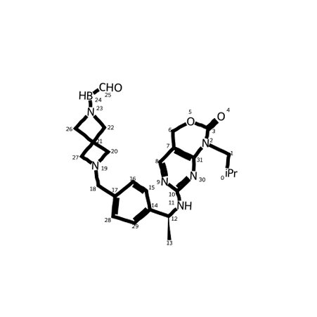 CC(C)CN1C(=O)OCc2cnc(N[C@@H](C)c3ccc(CN4CC5(CN(BC=O)C5)C4)cc3)nc21